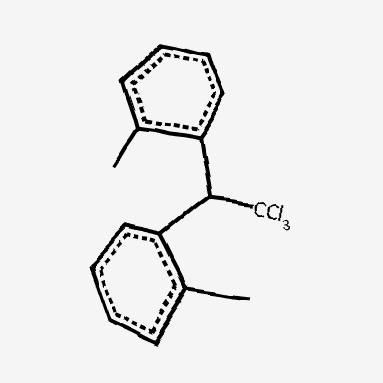 Cc1ccccc1C(c1ccccc1C)C(Cl)(Cl)Cl